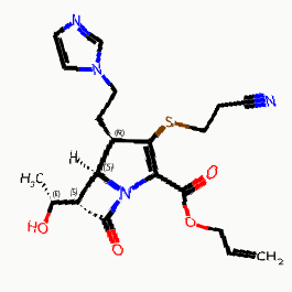 C=CCOC(=O)C1=C(SCCC#N)[C@H](CCn2ccnc2)[C@@H]2[C@@H]([C@@H](C)O)C(=O)N12